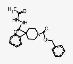 CC(=O)NNC(=O)C1(c2ccccc2)CCN(C(=O)OCc2ccccc2)CC1